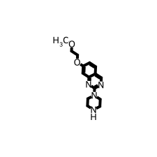 COCCOc1ccc2cnc(N3CCNCC3)nc2c1